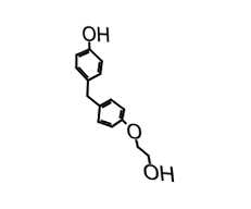 OCCOc1ccc(Cc2ccc(O)cc2)cc1